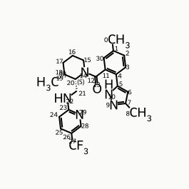 Cc1ccc(-c2cc(C)n[nH]2)c(C(=O)N2CCC[C@@H](C)[C@H]2CNc2ccc(C(F)(F)F)cn2)c1